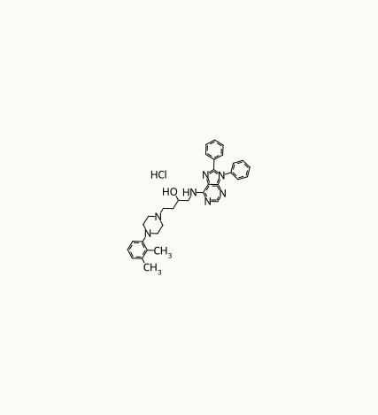 Cc1cccc(N2CCN(CCC(O)CNc3ncnc4c3nc(-c3ccccc3)n4-c3ccccc3)CC2)c1C.Cl